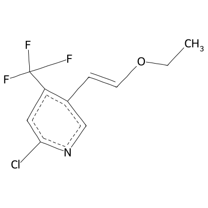 CCOC=Cc1cnc(Cl)cc1C(F)(F)F